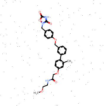 COCCNC(=O)COc1ccc(-c2cccc(COc3ccc(Cn4oc(=O)[nH]c4=O)cc3)c2)c(C)c1